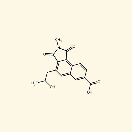 CC(O)Cc1cc2cc(C(=O)O)ccc2c2c1C(=O)N(C)C2=O